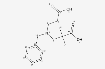 CC(C)(CN(CCC(=O)O)Cc1ccccc1)C(=O)O